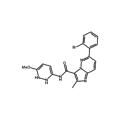 COC1=CC=C(NC(=O)c2c(C)nc3ccc(-c4ccccc4Br)nn23)NN1